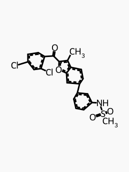 Cc1c(C(=O)c2ccc(Cl)cc2Cl)oc2cc(-c3cccc(NS(C)(=O)=O)c3)ccc12